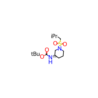 CC(C)CS(=O)(=O)N1CCC[C@H](NC(=O)OC(C)(C)C)C1